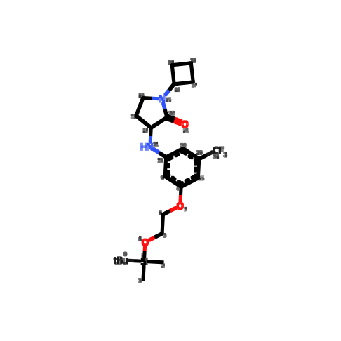 CC(C)(C)[Si](C)(C)OCCOc1cc(NC2CCN(C3CCC3)C2=O)cc(C(F)(F)F)c1